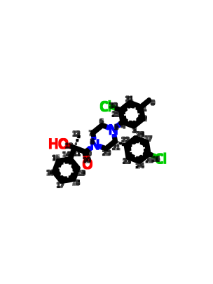 Cc1ccc(N2CCN(C(=O)[C@](C)(O)c3ccccc3)C[C@H]2c2ccc(Cl)cc2)c(Cl)c1